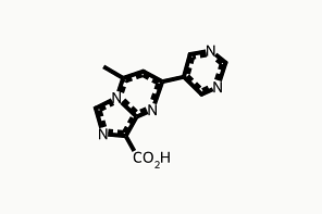 Cc1cc(-c2cncnc2)nc2c(C(=O)O)ncn12